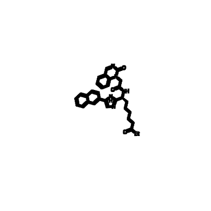 CCC(=O)CCCCC[C@H](NC(=O)Cn1c(=O)ncc2ccccc21)c1ncc(-c2ccc3ccccc3c2)[nH]1